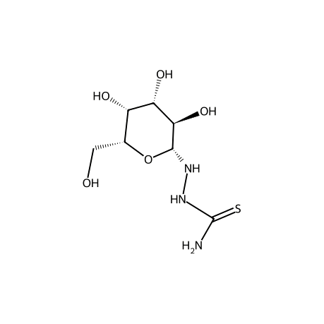 NC(=S)NN[C@@H]1O[C@H](CO)[C@H](O)[C@H](O)[C@H]1O